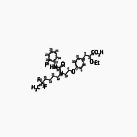 CCOC(Cc1ccc(OCCN(CCCCC(C)(F)F)C(=O)Nc2ccccc2F)cc1)C(=O)O